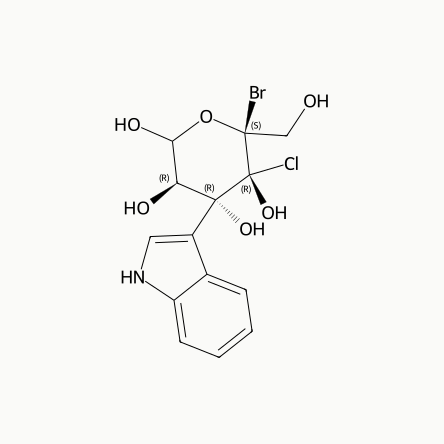 OC[C@@]1(Br)OC(O)[C@H](O)[C@](O)(c2c[nH]c3ccccc23)[C@@]1(O)Cl